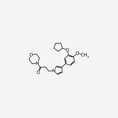 COc1ccc(-c2ccn(CCC(=O)N3CCOCC3)c2)cc1OC1CCCC1